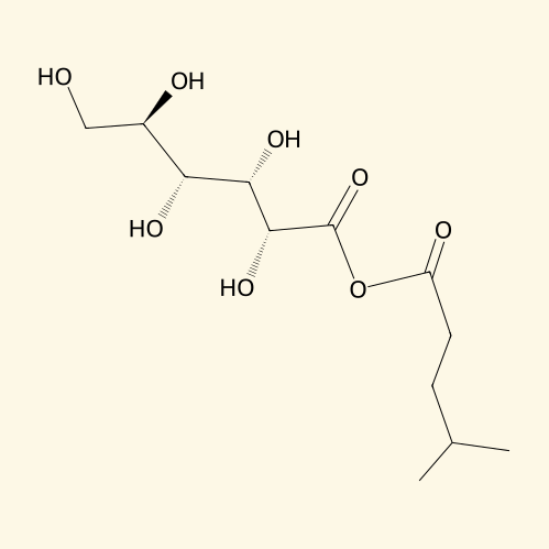 CC(C)CCC(=O)OC(=O)[C@H](O)[C@@H](O)[C@H](O)[C@H](O)CO